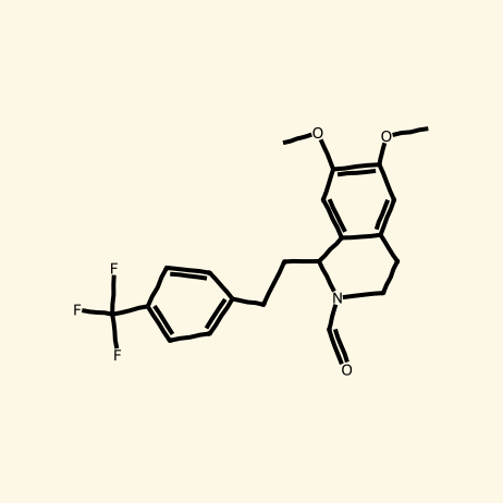 COc1cc2c(cc1OC)C(CCc1ccc(C(F)(F)F)cc1)N(C=O)CC2